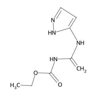 C=C(NC(=O)OCC)Nc1ccn[nH]1